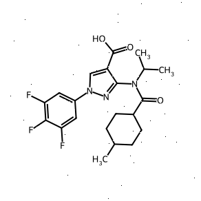 CC1CCC(C(=O)N(c2nn(-c3cc(F)c(F)c(F)c3)cc2C(=O)O)C(C)C)CC1